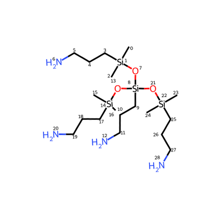 C[Si](C)(CCCN)O[Si](CCCN)(O[Si](C)(C)CCCN)O[Si](C)(C)CCCN